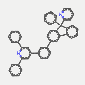 c1ccc(-c2cc(-c3cccc(-c4ccc5c(c4)-c4ccccc4C5(c4ccccc4)c4ccccn4)c3)cc(-c3ccccc3)n2)cc1